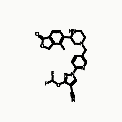 Cc1c(C2CN(Cc3ccc(-n4cc(C#N)c(OC(F)F)n4)nc3)CCN2)ccc2c1COC2=O